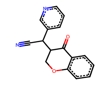 N#CC(c1cccnc1)C1COc2ccccc2C1=O